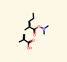 C=C(C)C(=O)O.CCC=C(C)C(=O)ON(C)C